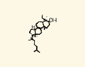 CC[C@]1(C)C2CCC3=C(CC[C@]4(C)[C@@H]([C@H](C)CCCC(C)C)CC[C@@H]34)[C@@]2(C)CC[C@@H]1O